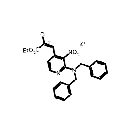 CCOC(=O)/C([O-])=C\c1ccnc(N(Cc2ccccc2)Cc2ccccc2)c1[N+](=O)[O-].[K+]